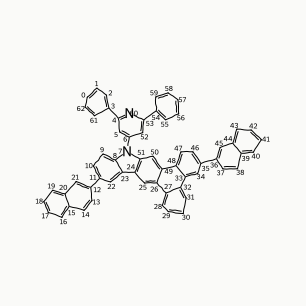 c1ccc(-c2cc(-n3c4ccc(-c5ccc6ccccc6c5)cc4c4cc5c6ccccc6c6cc(-c7ccc8ccccc8c7)ccc6c5cc43)cc(-c3ccccc3)n2)cc1